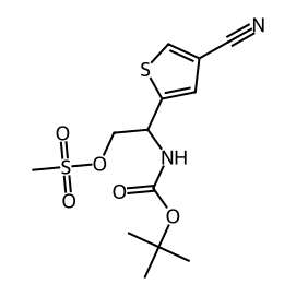 CC(C)(C)OC(=O)NC(COS(C)(=O)=O)c1cc(C#N)cs1